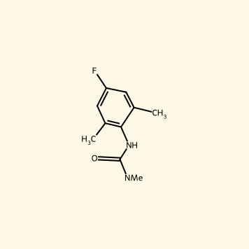 CNC(=O)Nc1c(C)cc(F)cc1C